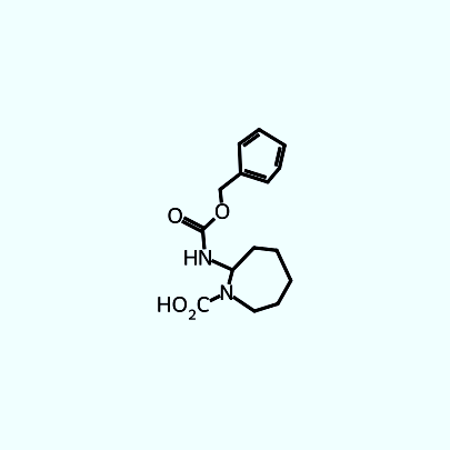 O=C(NC1CCCCCN1C(=O)O)OCc1ccccc1